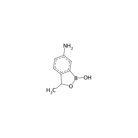 CC1OB(O)c2cc(N)ccc21